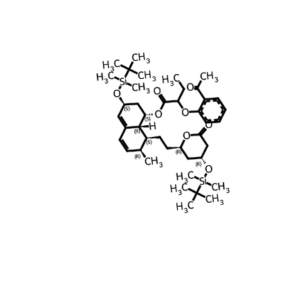 CCC(Oc1ccccc1C(C)=O)C(=O)O[C@H]1C[C@H](O[Si](C)(C)C(C)(C)C)C=C2C=C[C@H](C)[C@H](CC[C@@H]3C[C@@H](O[Si](C)(C)C(C)(C)C)CC(=O)O3)[C@H]21